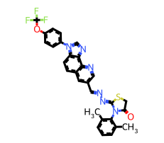 Cc1cccc(C)c1N1C(=O)CS/C1=N\N=C\c1cnc2c(ccc3c2ncn3-c2ccc(OC(F)(F)F)cc2)c1